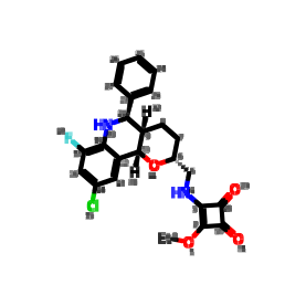 CCOc1c(NC[C@H]2CC[C@@H]3[C@H](O2)c2cc(Cl)cc(F)c2N[C@H]3c2ccccc2)c(=O)c1=O